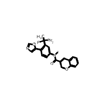 CC(F)(P)c1cc(N(I)C(=O)C2COc3ccccc3C2)ccc1-c1cnco1